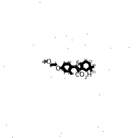 Cc1cc(OCCOI)ccc1-c1sc2c(c1C(=O)O)CC(C)(C)CC2